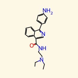 CCN(CC)CCNC(=O)c1cnc(-c2ccc(N)cc2)c2ccccc12